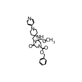 COCC12CN(C(=O)OCc3ccccc3)CC(=O)N1CC1(CCN(c3ccncc3)CC1)N2